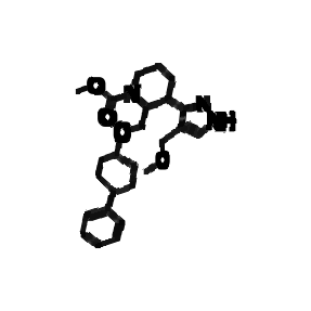 COCc1c[nH]nc1C1CCCN(C(=O)OC)C1COC1CCC(c2ccccc2)CC1